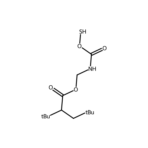 CC(C)(C)CC(C(=O)OCNC(=O)OS)C(C)(C)C